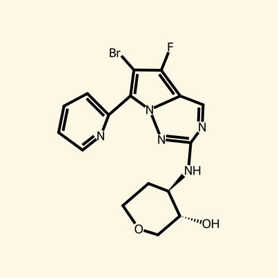 O[C@@H]1COCC[C@H]1Nc1ncc2c(F)c(Br)c(-c3ccccn3)n2n1